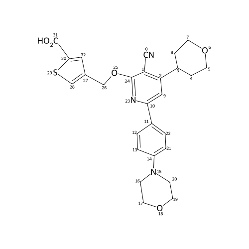 N#Cc1c(C2CCOCC2)cc(-c2ccc(N3CCOCC3)cc2)nc1OCc1csc(C(=O)O)c1